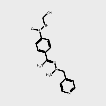 N#CCN[S+]([O-])c1ccc(/C(N)=N/N(N)Cc2ccncc2)cc1